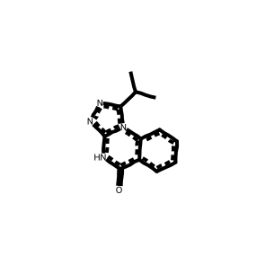 CC(C)c1nnc2[nH]c(=O)c3ccccc3n12